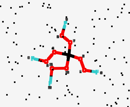 FOOC(OOF)(OOF)OOF